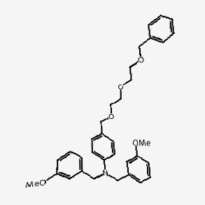 COc1cccc(CN(Cc2cccc(OC)c2)c2ccc(COCCOCCOCc3ccccc3)cc2)c1